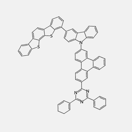 C1=CC(c2nc(-c3ccccc3)nc(-c3ccc4c5ccc(-n6c7ccccc7c7cc(-c8cccc9c8sc8c9ccc9c%10ccccc%10sc98)ccc76)cc5c5ccccc5c4c3)n2)=CCC1